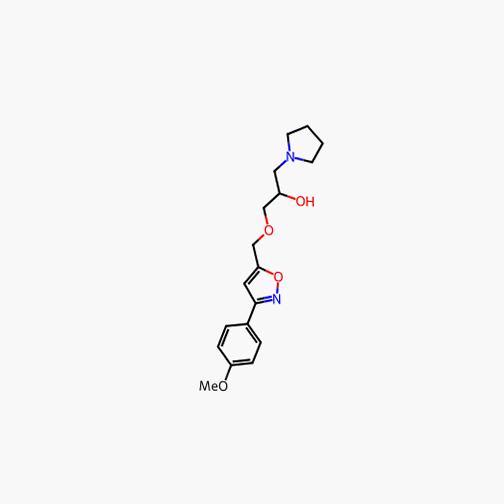 COc1ccc(-c2cc(COCC(O)CN3CCCC3)on2)cc1